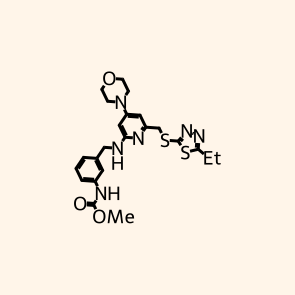 CCc1nnc(SCc2cc(N3CCOCC3)cc(NCc3cccc(NC(=O)OC)c3)n2)s1